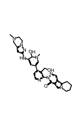 CN1CCn2nc(NC3=CC(c4ccnc(-n5ncc6c7n(cc6c5=O)CCCC7)c4CO)=CN(C)C3O)cc2C1